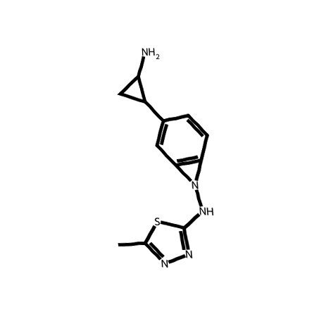 Cc1nnc(NN2c3ccc(C4CC4N)cc32)s1